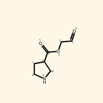 O=CCOC(=O)C1CCNC1